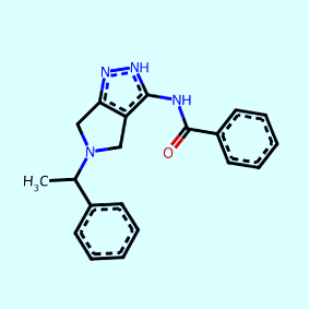 CC(c1ccccc1)N1Cc2n[nH]c(NC(=O)c3ccccc3)c2C1